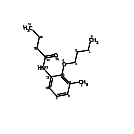 CCCCOc1c(C)cccc1NC(=O)CCC